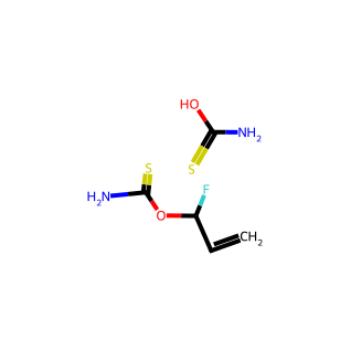 C=CC(F)OC(N)=S.NC(O)=S